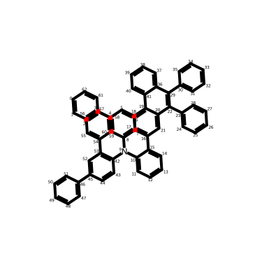 c1ccc(-c2cccc(N(c3ccccc3-c3ccc4c(c3)c(-c3ccccc3)c(-c3ccccc3)c3ccccc34)c3ccc(-c4ccccc4)cc3-c3ccccc3)c2)cc1